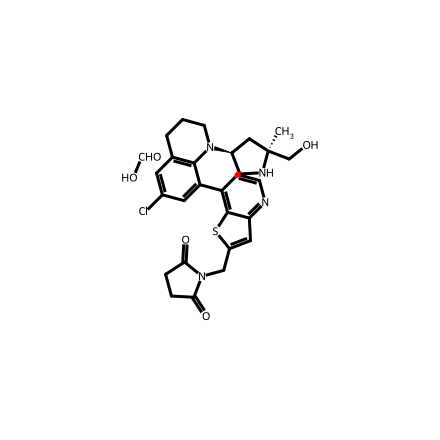 C[C@@]1(CO)C[C@H](N2CCCc3cc(Cl)cc(-c4ccnc5cc(CN6C(=O)CCC6=O)sc45)c32)CN1.O=CO